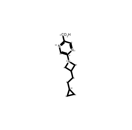 O=C(O)c1cnc(N2CC(CCC3CC3)C2)cn1